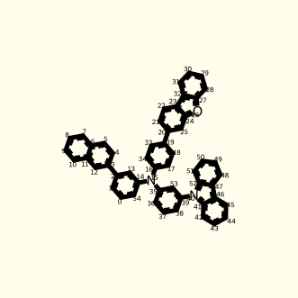 c1cc(-c2ccc3ccccc3c2)cc(N(c2ccc(-c3ccc4c(c3)oc3ccccc34)cc2)c2cccc(-n3c4ccccc4c4ccccc43)c2)c1